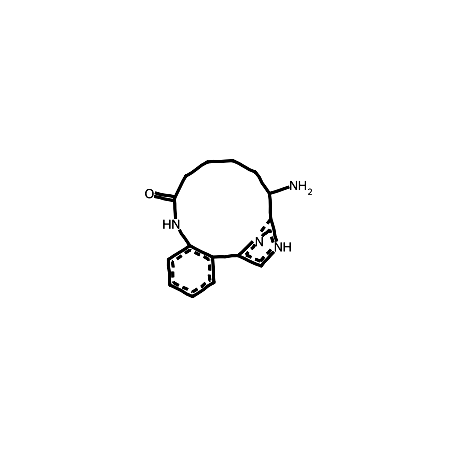 NC1CCCCC(=O)Nc2ccccc2-c2c[nH]c1n2